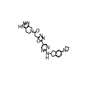 O=C(Cc1nnc(-c2cnc(NC3Cc4ccc(N5CCC5)cc4C3)nc2)o1)N1CCc2[nH]nnc2C1